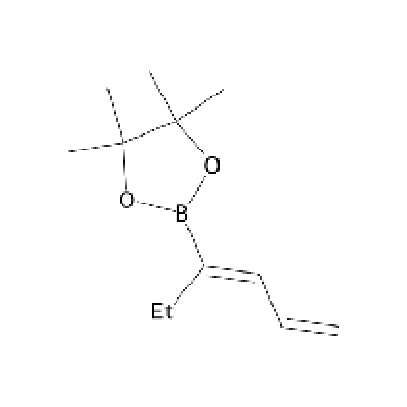 C=CC=C(CC)B1OC(C)(C)C(C)(C)O1